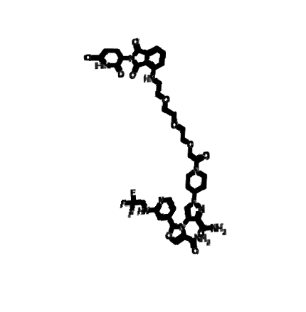 NC(=O)C1=COC(c2ccnc(NCC(F)(F)F)c2)N1c1cn(C2CCN(C(=O)COCCOCCOCCNc3cccc4c3C(=O)N(C3CCC(=O)NC3=O)C4=O)CC2)nc1C(N)=O